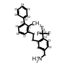 Cc1c(CCc2cc(CN)ccc2C(F)(F)F)cccc1-c1ccccc1